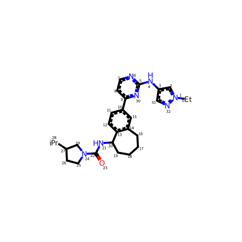 CCn1cc(Nc2nccc(-c3ccc4c(c3)CCCCC4NC(=O)N3CCC(C(C)C)C3)n2)cn1